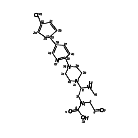 CNC(CN(CC=O)C(=O)O)N1CCN(c2ccc(-c3ccc(Cl)cc3)cn2)CC1